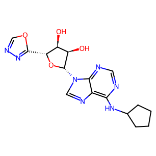 O[C@@H]1[C@H](O)[C@@H](c2nnco2)O[C@H]1n1cnc2c(NC3CCCC3)ncnc21